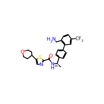 C[C@@H](NC(=O)c1ncc(C2CCOCC2)s1)c1ccc(-c2cc(C(F)(F)F)ccc2CN)cc1